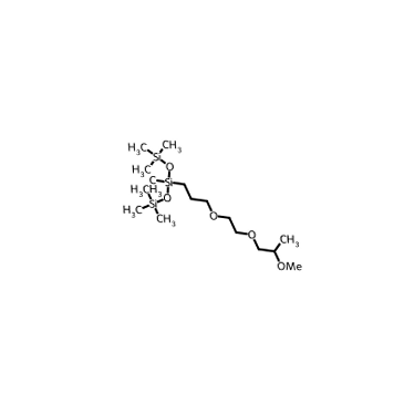 COC(C)COCCOCCC[Si](C)(O[Si](C)(C)C)O[Si](C)(C)C